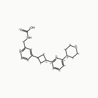 O=C(O)NCc1cc(C2CC(c3cccc(N4CCOCC4)n3)C2)ccn1